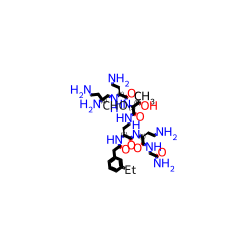 CCc1cccc(CC(=O)N[C@@H](CCNC(=O)[C@@H](NC(=O)[C@H](CCN)NC[C@](N)(C=O)CCN)[C@@H](C)O)C(=O)N[C@@H](CCN)C(=O)NCC(N)=O)c1